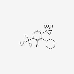 CS(=O)(=O)c1ccc(C2(C(=O)O)CC2)c(C2CCCCC2)c1F